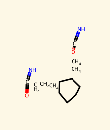 C.C.C.C.C.C1CCCCC1.N=C=O.N=C=O